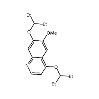 CCC(CC)Oc1cc2nccc(OC(CC)CC)c2cc1OC